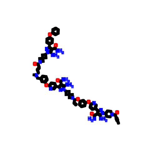 C=CC(Oc1cccc(Oc2ccc(-c3nn(C4CCN(C(=O)C#CC)CC4)c(N)c3C(N)=O)cn2)c1)N1CC2(CC(n3nc(-c4ccc(Oc5cccc(CN(C)C/C=C/C(=O)N6CC7(CC(n8nc(-c9ccc(Oc%10ccccc%10)cc9)c(C(N)=O)c8N)C7)C6)c5)nc4)c(C(N)=O)c3N)C2)C1